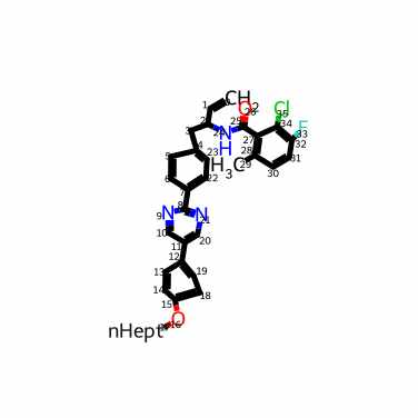 C=CC(Cc1ccc(-c2ncc(-c3ccc(OCCCCCCC)cc3)cn2)cc1)NC(=O)c1c(C)ccc(F)c1Cl